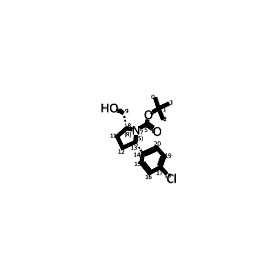 CC(C)(C)OC(=O)N1[C@@H](CO)CC[C@H]1c1ccc(Cl)cc1